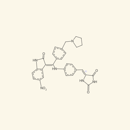 O=C1NC(=O)/C(=C/c2ccc(NC(=C3C(=O)Nc4ccc([N+](=O)[O-])cc43)c3ccc(CN4CCCC4)cc3)cc2)N1